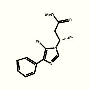 CCc1c(-c2ccccc2)ncn1[C@H](CC(=O)OC)C(C)C